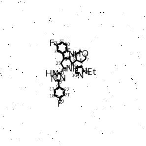 CCn1cc([C@]2(C3CCOCC3)N[C@@H](c3nc(-c4ccc(F)cc4)n[nH]3)Cc3c2[nH]c2ccc(F)cc32)cn1